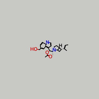 CC=C(C)[C@@H]1CC2[C@H]1CCN2[C@H](C)[C@H](OC(C)=O)c1ccnc2ccc(CO)cc12